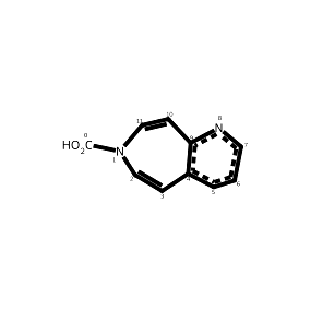 O=C(O)N1C=Cc2cccnc2C=C1